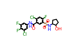 O=C(Nc1cc(F)c(F)c(Cl)c1)c1cc(S(=O)(=O)NC2CCCC2O)c(F)cc1Cl